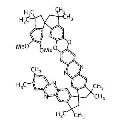 COc1cc2c(cc1OC)C1(CC2(C)C)CC(C)(C)c2cc3c(cc21)Oc1cc2nc4cc5c(cc4nc2cc1O3)C(C)(C)CC51CC(C)(C)c2cc3nc4cc(C)c(C)cc4nc3cc21